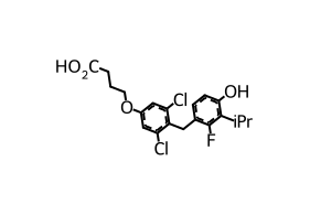 CC(C)c1c(O)ccc(Cc2c(Cl)cc(OCCCC(=O)O)cc2Cl)c1F